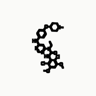 CCN(C(=O)Nc1c(Cl)c(OC)cc(OC)c1Cl)c1cc(Nc2ccc(OC3CCN(C)CC3)cc2)ncn1